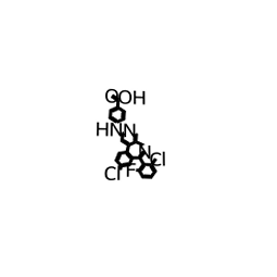 O=C(O)c1ccc(Nc2cc3c(cn2)CN=C(c2c(F)cccc2Cl)c2cc(Cl)ccc2-3)cc1